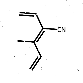 C=CC(C)=C(C#N)C=C